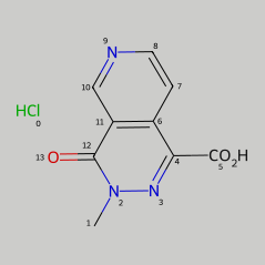 Cl.Cn1nc(C(=O)O)c2ccncc2c1=O